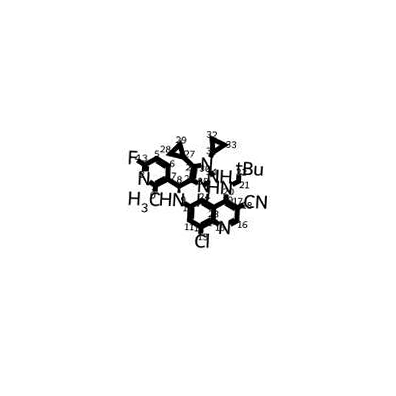 Cc1nc(F)ccc1[C@H](Nc1cc(Cl)c2ncc(C#N)c(NCC(C)(C)C)c2c1)C1=C(C2CC2)N(C2CC2)NN1